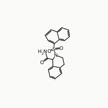 NC(=O)C1c2cc[c]cc2CCN1S(=O)(=O)c1cccc2ccccc12